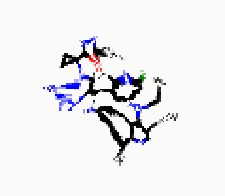 Cc1nnc(C2(N3C=C([C@@H](Nc4cc(C#N)c5ncc(C#N)c(NCC(C)(C)C)c5c4)c4ccc(F)nc4C)NN3)CC2)o1